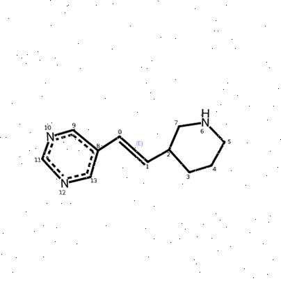 C(=C\C1CCCNC1)/c1cncnc1